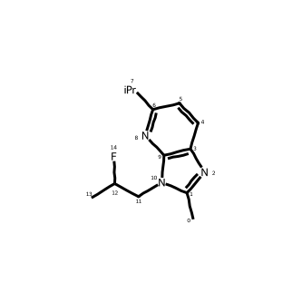 Cc1nc2ccc(C(C)C)nc2n1CC(C)F